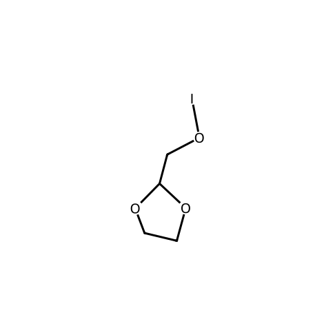 IOCC1OCCO1